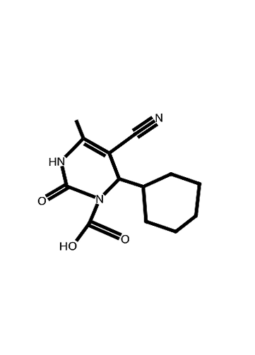 CC1=C(C#N)C(C2CCCCC2)N(C(=O)O)C(=O)N1